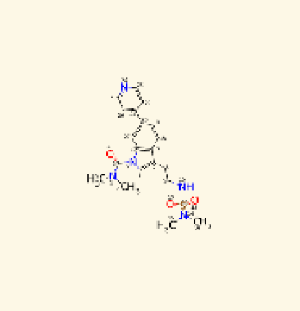 CN(C)C(=O)n1cc(CCNS(=O)(=O)N(C)C)c2ccc(-c3ccncc3)cc21